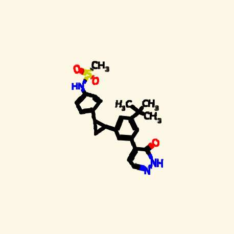 CC(C)(C)c1cc(-c2ccn[nH]c2=O)cc(C2CC2c2ccc(NS(C)(=O)=O)cc2)c1